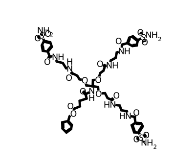 NS(=O)(=O)c1ccc(C(=O)NCCCNC(=O)CCOCC(COCCC(=O)NCCCNC(=O)c2ccc(S(N)(=O)=O)cc2)(COCCC(=O)NCCCNC(=O)c2ccc(S(N)(=O)=O)cc2)NC(=O)CCCC(=O)OCc2ccccc2)cc1